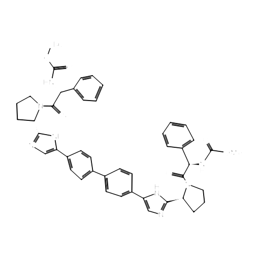 COC(=O)N[C@@H](C(=O)N1CCC[C@H]1c1ncc(-c2ccc(-c3ccc(-c4cnc([C@@H]5CCCN5C(=O)[C@H](NC(=O)OC(C)(C)C)c5ccccc5)[nH]4)cc3)cc2)[nH]1)c1ccccc1